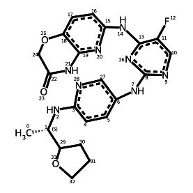 C[C@H](Nc1ccc(Nc2ncc(F)c(Nc3ccc4c(n3)NC(=O)CO4)n2)cn1)C1CCCO1